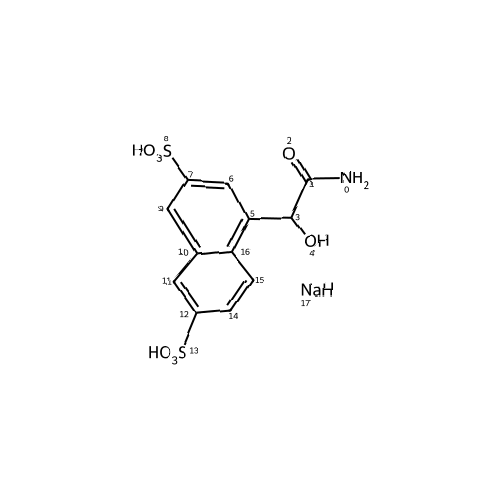 NC(=O)C(O)c1cc(S(=O)(=O)O)cc2cc(S(=O)(=O)O)ccc12.[NaH]